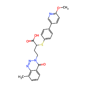 COc1ccc(-c2ccc(SC(CCn3nnc4c(C)cccc4c3=O)C(=O)O)cc2)cn1